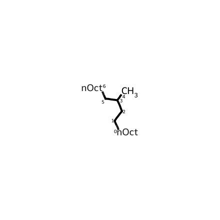 [CH2]CCCCCCCCCC(C)CCCCCCCC[CH2]